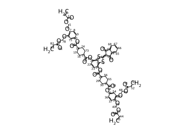 C=CC(=O)OCOc1ccc(OC(=O)C2CCC(C(=O)Oc3ccc(OC(=O)C4CCC(C(=O)Oc5ccc(OCOC(=O)C=C)c(OCOC(=O)C=C)c5)CC4)c4c3SC(=C3C(=O)c5ccccc5C3=O)S4)CC2)cc1OCOC(=O)C=C